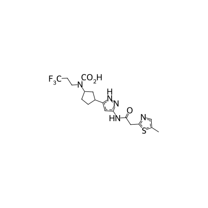 Cc1cnc(CC(=O)Nc2cc(C3CCC(N(CCC(F)(F)F)C(=O)O)C3)[nH]n2)s1